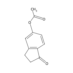 CC(=O)Oc1ccc2c(c1)CCC2=O